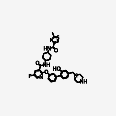 Cc1nc(C(=O)NC2CCC(NC(=O)c3cc(F)cnc3Oc3cccc(-c4ccc(CN5CCNCC5)cc4O)c3)CC2)cs1